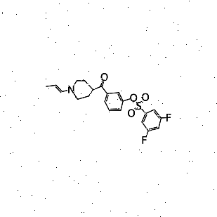 CC=CN1CCC(C(=O)c2cccc(OS(=O)(=O)c3cc(F)cc(F)c3)c2)CC1